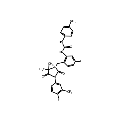 CC1(C)C(=O)N(c2ccc(F)c(C(F)(F)F)c2)C(=O)N1Cc1ccc(F)cc1NC(=O)Nc1ccc(N)cc1